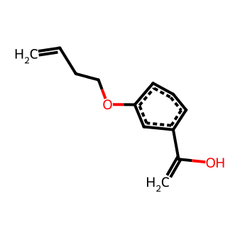 C=CCCOc1cccc(C(=C)O)c1